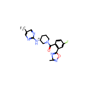 Cc1noc(-c2cc(F)ccc2C(=O)N2CCC[C@@H](Nc3ncc(C(F)(F)F)cn3)C2)n1